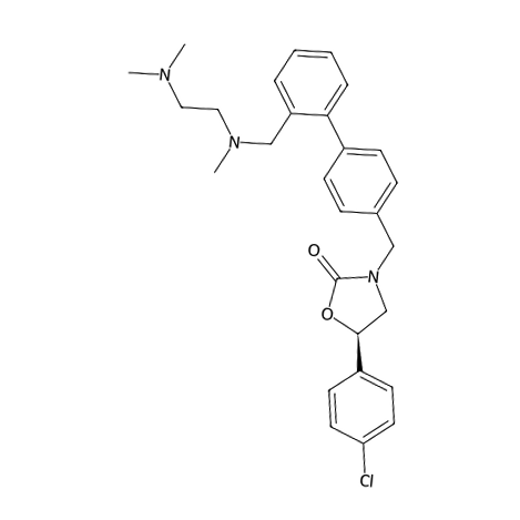 CN(C)CCN(C)Cc1ccccc1-c1ccc(CN2C[C@@H](c3ccc(Cl)cc3)OC2=O)cc1